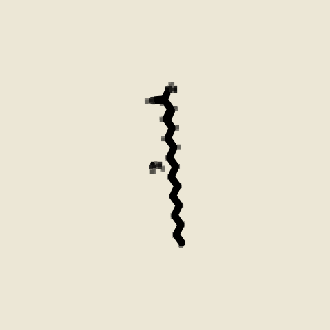 CCCCCCCCCCCCCC=CC(=O)O.[AlH3]